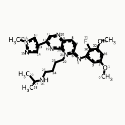 COc1cc(/N=c2\ccc3ncc(-c4cnn(C)c4)nc3n2CCCCNC(C)C)c(F)c(OC)c1